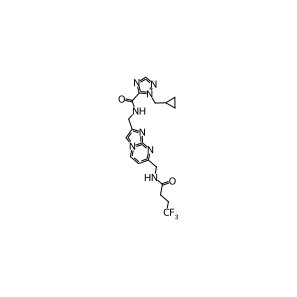 O=C(CCC(F)(F)F)NCc1ccn2cc(CNC(=O)c3ncnn3CC3CC3)nc2n1